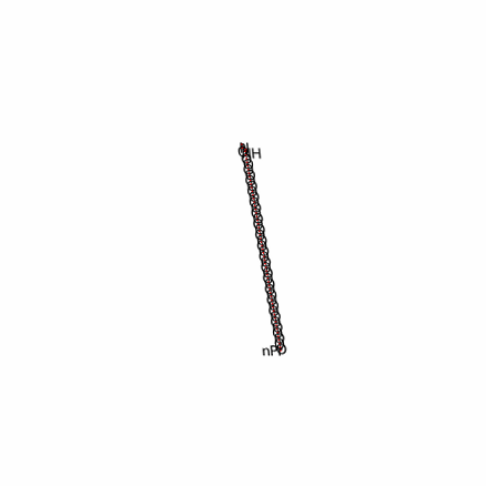 CCCOCCOCCOCCOCCOCCOCCOCCOCCOCCOCCOCCOCCOCCOCCOCCOCCOCCOCCOCCOCCOCCOCCOCCOCCOCCOCCOCCOCCOCCOCCOCCOCCOCCOCCOCCOCCNC(=O)CN1CCCCC1